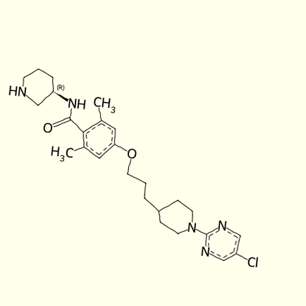 Cc1cc(OCCCC2CCN(c3ncc(Cl)cn3)CC2)cc(C)c1C(=O)N[C@@H]1CCCNC1